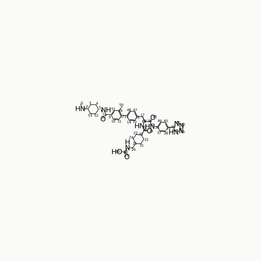 CN[C@H]1CC[C@H](NC(=O)c2ccc(-c3ccc(C[C@H](NC(=O)C4CCC(CNC(=O)O)CC4)C(=O)Nc4ccc(-c5nnn[nH]5)cc4)cc3)c(C)c2)CC1